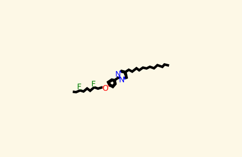 CCCCCCCCCCCCc1cnc(-c2ccc(OCCC(F)CCCC(F)CC)cc2)nc1